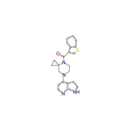 O=C(c1csc2ccccc12)N1CCN(c2ccnc3[nH]ccc23)CC12CC2